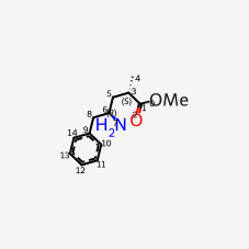 COC(=O)[C@@H](C)C[C@@H](N)Cc1ccccc1